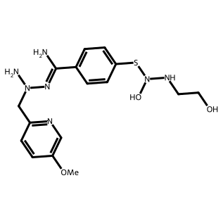 COc1ccc(CN(N)/N=C(\N)c2ccc(SN(O)NCCO)cc2)nc1